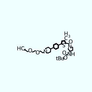 C#CCOCCOCCN1CCC(c2ccc(-c3cc(C)c(C(=O)N4CC[C@H](NC(=O)OC(C)(C)C)C4)s3)cc2)CC1